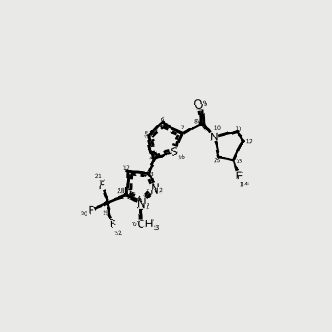 Cn1nc(-c2ccc(C(=O)N3CC[C@@H](F)C3)s2)cc1C(F)(F)F